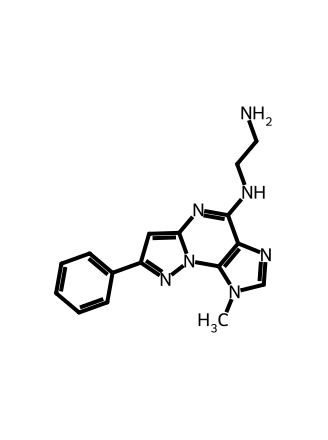 Cn1cnc2c(NCCN)nc3cc(-c4ccccc4)nn3c21